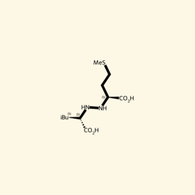 CC[C@H](C)[C@H](NN[C@@H](CCSC)C(=O)O)C(=O)O